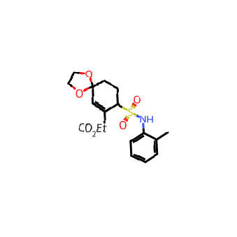 CCOC(=O)C1=CC2(CCC1S(=O)(=O)Nc1ccccc1C)OCCO2